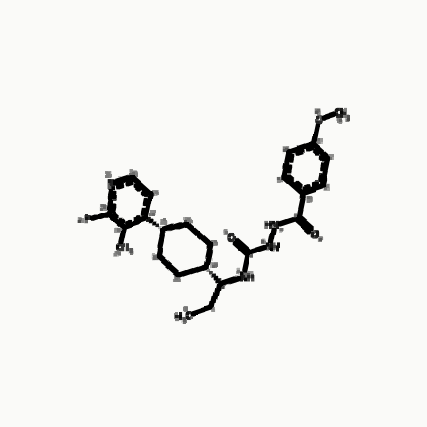 CCC(NC(=O)NNC(=O)c1ccc(OC)cc1)[C@H]1CC[C@@H](c2ccnc(F)c2C)CC1